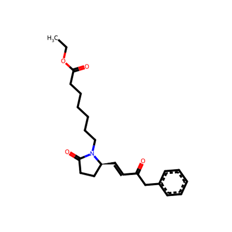 CCOC(=O)CCCCCCN1C(=O)CC[C@@H]1/C=C/C(=O)Cc1ccccc1